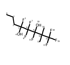 CCCC(O)(F)C(F)(F)C(O)(F)C(C)(C)C(F)(F)F